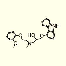 COc1ccccc1OCCN(C)CC(O)COc1cccc2[nH]c3ccccc3c12